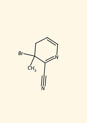 CC1(Br)CC=CN=C1C#N